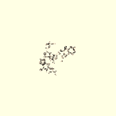 CC(C)C(=O)Nc1nc2c(ncn2[C@@H]2O[C@H](COP(=O)(O)S)C[C@H]2OP(=O)(O)OCC2C[C@@H](Nc3ccncn3)[C@H](F)[C@@H]2C)c(=O)[nH]1